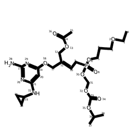 CCOCCCOP(=O)(C/C=C(\COC(C)=O)COc1cc(NC2CC2)nc(N)n1)OCOC(=O)OC(C)C